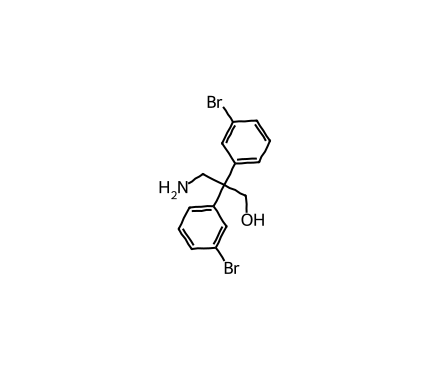 NCC(CO)(c1cccc(Br)c1)c1cccc(Br)c1